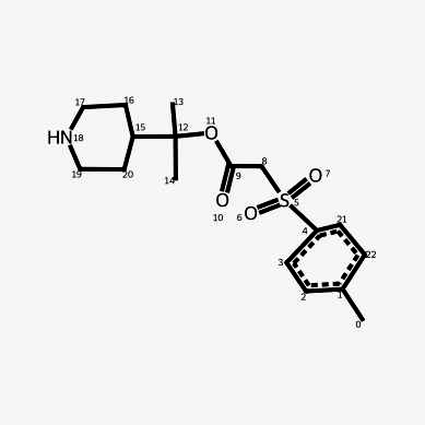 Cc1ccc(S(=O)(=O)CC(=O)OC(C)(C)C2CCNCC2)cc1